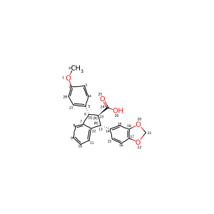 COc1ccc([C@H]2c3ccccc3[C@@H](c3ccc4c(c3)OCO4)[C@@H]2C(=O)O)cc1